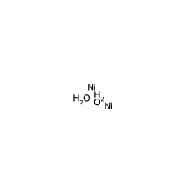 O.O.[Ni].[Ni]